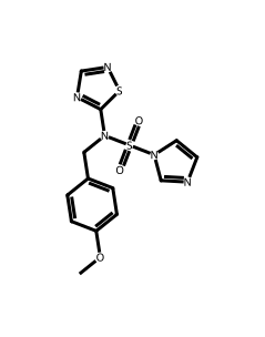 COc1ccc(CN(c2ncns2)S(=O)(=O)n2ccnc2)cc1